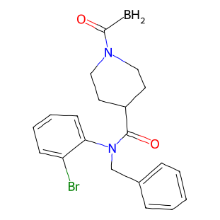 BC(=O)N1CCC(C(=O)N(Cc2ccccc2)c2ccccc2Br)CC1